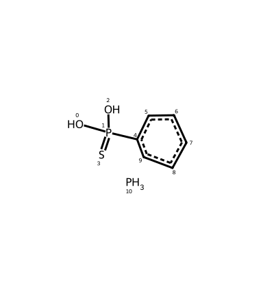 OP(O)(=S)c1ccccc1.P